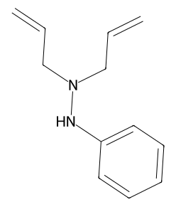 C=CCN(CC=C)Nc1ccccc1